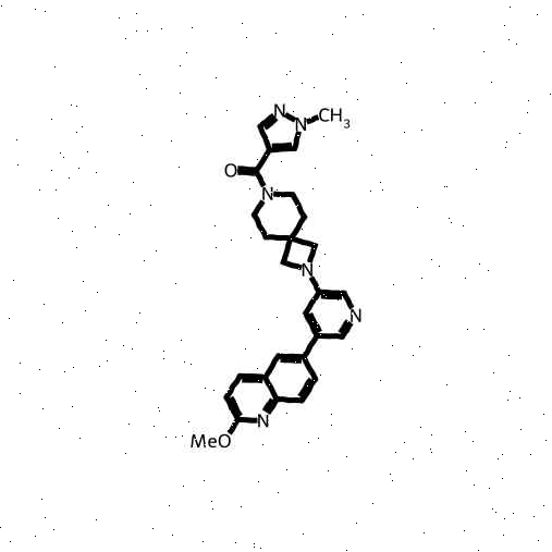 COc1ccc2cc(-c3cncc(N4CC5(CCN(C(=O)c6cnn(C)c6)CC5)C4)c3)ccc2n1